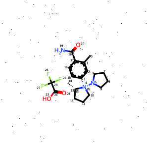 Cc1cc([N@+]2(N3CCCC3)CCC[C@@H]2C)ccc1C(N)=O.O=C(O)C(F)(F)F